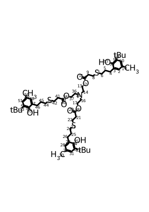 Cc1cc(CCCSCCC(=O)OCCN(CCOC(=O)CCSCCCc2cc(C)cc(C(C)(C)C)c2O)CCOC(=O)CCSCCCc2cc(C)cc(C(C)(C)C)c2O)c(O)c(C(C)(C)C)c1